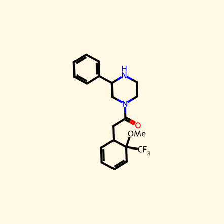 COC1(C(F)(F)F)C=CC=CC1CC(=O)N1CCNC(c2ccccc2)C1